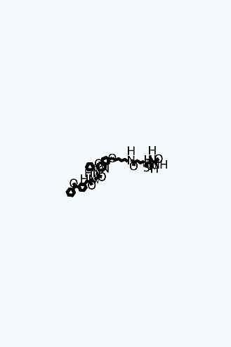 C[C@H](NC(=O)Cc1cccc(C(=O)c2ccccc2)c1)C(=O)N[C@H]1CN(C)c2cc(OCCCCCNC(=O)CCC[C@@H]3SC[C@@H]4NC(=O)N[C@@H]43)ccc2O[C@H]1c1ccccc1